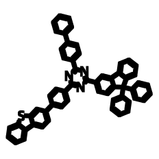 c1ccc(-c2ccc(-c3nc(-c4ccc(-c5ccc6c(c5)sc5ccccc56)cc4)nc(-c4ccc5c(c4)-c4ccccc4C5(c4ccccc4)c4ccccc4)n3)cc2)cc1